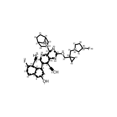 C#Cc1c(-c2cc(O)cc3ccc(F)c(C#C)c23)cnc2c(N3CC4CCC(C3)N4)nc(OCC3(CN4CC[C@@H](F)C4)CC3)nc12